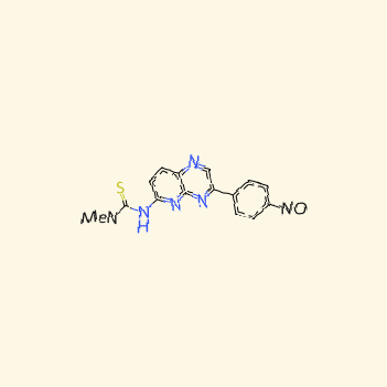 CNC(=S)Nc1ccc2ncc(-c3ccc(N=O)cc3)nc2n1